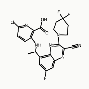 C[C@@H](Nc1ccc(Cl)nc1C(=O)O)c1cc(F)cc2nc(C#N)c(N3CCC(F)(F)CC3)nc12